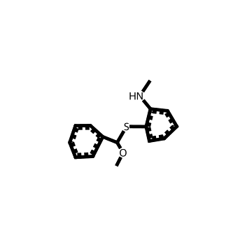 CNc1ccccc1SC(OC)c1ccccc1